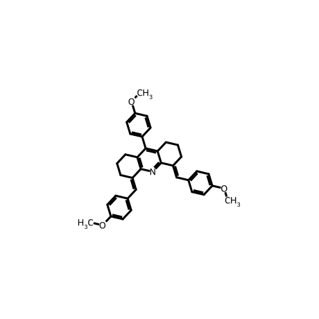 COc1ccc(C=C2CCCc3c2nc2c(c3-c3ccc(OC)cc3)CCCC2=Cc2ccc(OC)cc2)cc1